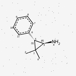 CC1(C)[C@H](N)[C@H]1c1ccccc1